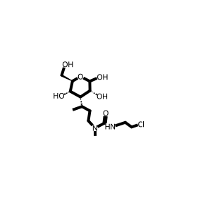 CC(CCN(C)C(=O)NCCCl)[C@@H]1[C@H](O)[C@@H](CO)OC(O)[C@@H]1O